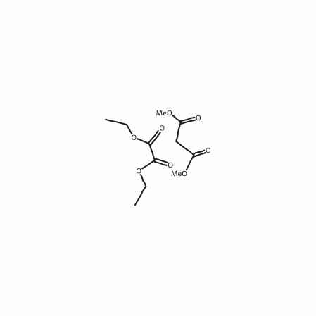 CCOC(=O)C(=O)OCC.COC(=O)CC(=O)OC